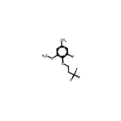 COc1cc(C)cc(F)c1OCCC(F)(F)F